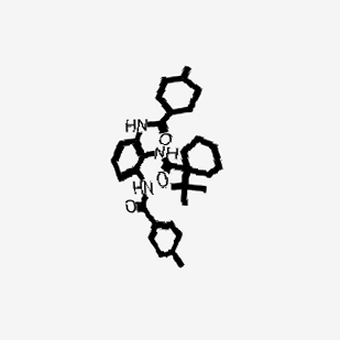 CC1CCC(C(=O)Nc2cccc(NC(=O)C3CCC(C)CC3)c2NC(=O)C2(C(C)(C)C)CCCCC2)CC1